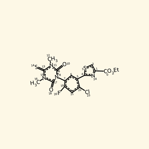 CCOC(=O)c1csc(-c2cc(-n3c(=O)n(C)c(=S)n(C)c3=O)c(F)cc2Cl)n1